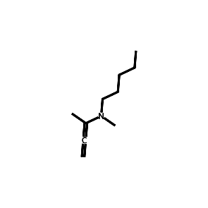 C=C=C(C)N(C)CCCCC